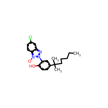 CCCCCC(C)(C)c1ccc(O)c(-n2nc3cc(Cl)ccc3[n+]2[O-])c1